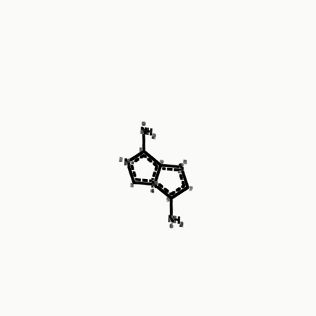 Nc1ncn2c(N)csc12